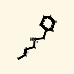 C/C=C/CNCc1ccccc1